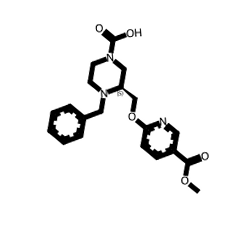 COC(=O)c1ccc(OC[C@@H]2CN(C(=O)O)CCN2Cc2ccccc2)nc1